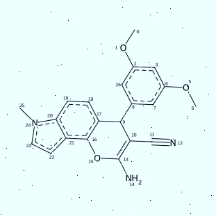 COc1cc(OC)cc(C2C(C#N)=C(N)Oc3c2ccc2c3ccn2C)c1